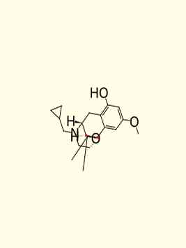 COc1cc(O)c2c(c1)[C@]13CCN(CC4CC4)[C@H](C2)[C@@H]1CC(C)(C)OC3